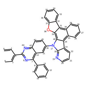 C=C/C(=C\C)c1nc(-c2ccccc2)c2cc(-n3c4ncccc4c4c5ccccc5c5c6ccccc6oc5c43)ccc2n1